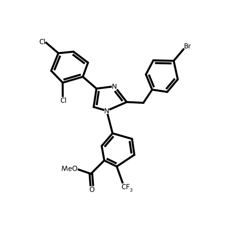 COC(=O)c1cc(-n2cc(-c3ccc(Cl)cc3Cl)nc2Cc2ccc(Br)cc2)ccc1C(F)(F)F